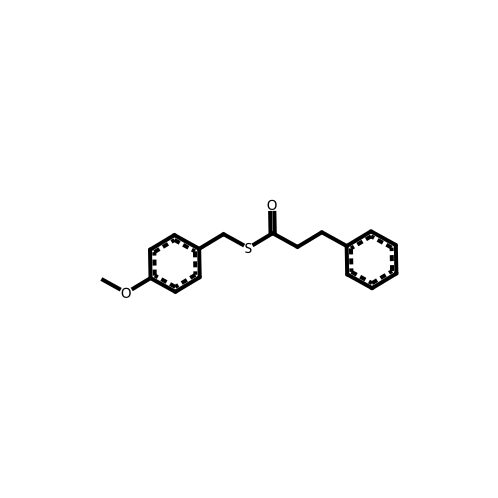 COc1ccc(CSC(=O)CCc2ccccc2)cc1